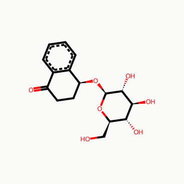 O=C1CC[C@H](O[C@@H]2O[C@H](CO)[C@@H](O)[C@H](O)[C@H]2O)c2ccccc21